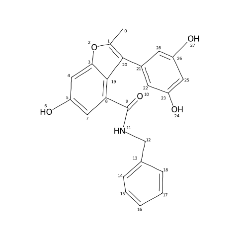 Cc1oc2cc(O)cc(C(=O)NCc3ccccc3)c2c1-c1cc(O)cc(O)c1